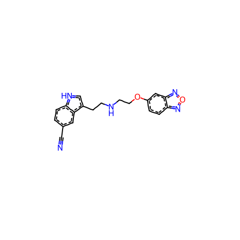 N#Cc1ccc2[nH]cc(CCNCCOc3ccc4nonc4c3)c2c1